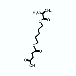 C=C(C)C(=O)OCCCCCOC(=O)CCC(=O)O